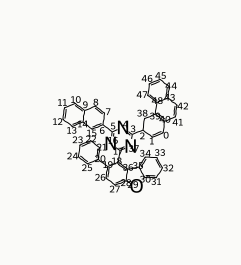 C1=CC(c2nc(-c3ccc4ccccc4c3)nc(-c3c(-c4ccccc4)ccc4oc5ccccc5c34)n2)Cc2c1ccc1ccccc21